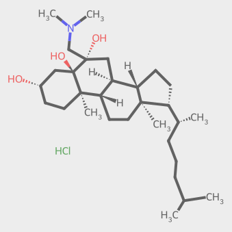 CC(C)CCC[C@@H](C)[C@H]1CC[C@H]2[C@@H]3C[C@](O)(CN(C)C)[C@@]4(O)C[C@@H](O)CC[C@]4(C)[C@H]3CC[C@]12C.Cl